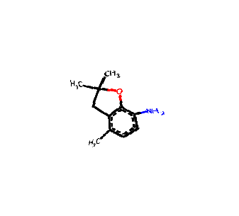 Cc1ccc(N)c2c1CC(C)(C)O2